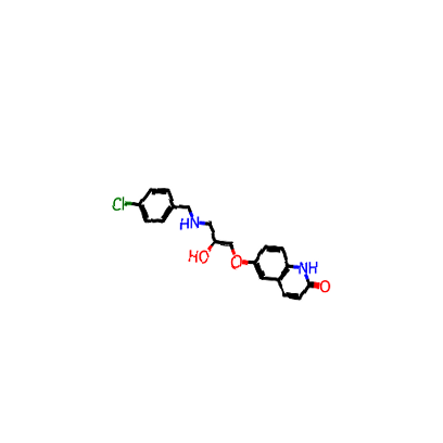 O=c1ccc2cc(OCC(O)CNCc3ccc(Cl)cc3)ccc2[nH]1